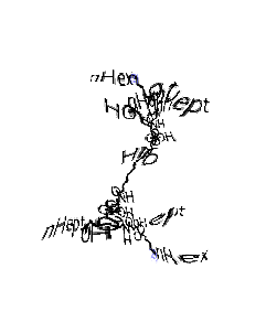 CCCCCC/C=C\CCCC(=O)O[C@H](CCCCCCC)CC(=O)NC(COCC[C@H](O)CCCCCCC)COP(=O)(O)OCCNC(=O)CCCCCCC(=O)NCCOP(=O)(O)OCC(COCC[C@H](O)CCCCCCC)NC(=O)C[C@@H](CCCCCCC)OC(=O)CCC/C=C\CCCCCC